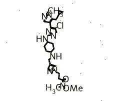 CON(C)C(=O)CCn1cc(CN[C@H]2CC[C@H](Nc3ncc(Cl)c(-c4cnn(C)c4CC4CC4)n3)CC2)cn1